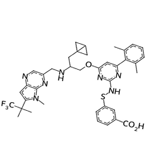 Cc1cccc(C)c1-c1cc(OCC(CC23CC2C3)NCc2cnc3cc(C(C)(C)C(F)(F)F)n(C)c3n2)nc(NSc2cccc(C(=O)O)c2)n1